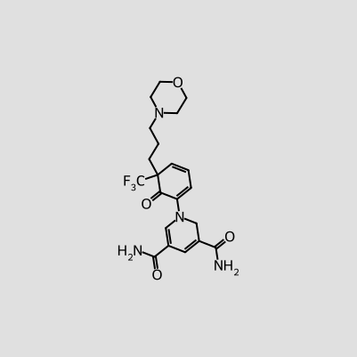 NC(=O)C1=CN(C2=CC=CC(CCCN3CCOCC3)(C(F)(F)F)C2=O)CC(C(N)=O)=C1